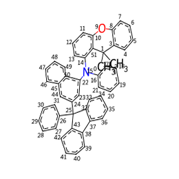 CC1(C)c2ccccc2Oc2cccc(N(c3ccccc3)c3cc(C4(c5ccccc5)c5ccccc5-c5ccccc54)cc4ccccc34)c21